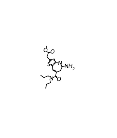 CCCN(CCC)C(=O)C1=Cc2sc(CC(=O)OC)cc2N=C(N)C1